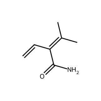 C=CC(C(N)=O)=C(C)C